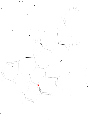 C/C=C/C[C@H](C[C@H](O)[C@H](Cc1ccccc1)N(Cc1ccccc1)Cc1ccccc1)C(=O)O